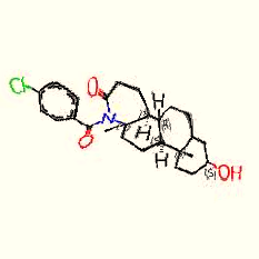 C[C@]12CC[C@H](O)CC1CC[C@@H]1[C@@H]2CC[C@@]2(C)[C@H]1CCC(=O)N2C(=O)c1ccc(Cl)cc1